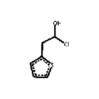 OC(Cl)Cc1cccs1